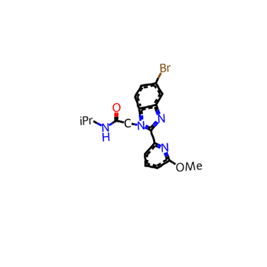 COc1cccc(-c2nc3cc(Br)ccc3n2CC(=O)NC(C)C)n1